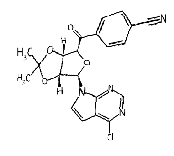 CC1(C)O[C@@H]2[C@H](O1)[C@@H](C(=O)c1ccc(C#N)cc1)O[C@H]2n1ccc2c(Cl)ncnc21